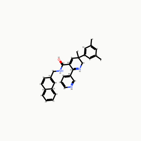 Cc1cc(C)cc(C2(C)C=C(C(=O)NCc3ccc4ccccc4c3)C(c3cccnc3)=NC2)c1